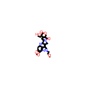 CC[C@@]1(O)C(=O)OCc2c1cc1n(c2=O)Cc2c-1nc1cc3c(cc1c2CNCCOC)OCO3